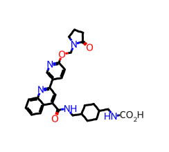 O=C(O)NCC1CCC(CNC(=O)c2cc(-c3ccc(OCN4CCCC4=O)nc3)nc3ccccc23)CC1